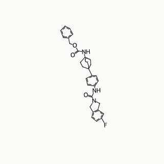 O=C(NC12CCC(c3ccc(NC(=O)N4Cc5ccc(F)cc5C4)cc3)(CC1)CC2)OCc1ccccc1